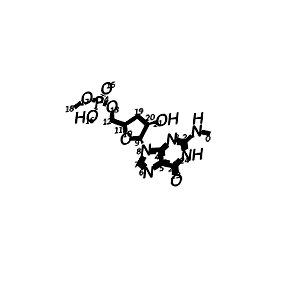 CNc1nc2c(ncn2[C@@H]2OC(COP(=O)(O)OC)C[C@H]2O)c(=O)[nH]1